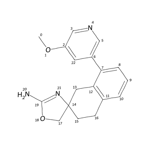 COc1cncc(-c2cccc3c2CC2(CC3)COC(N)=N2)c1